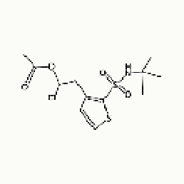 CC(=O)OC(Cl)Cc1ccsc1S(=O)(=O)NC(C)(C)C